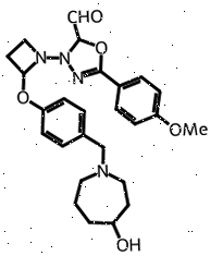 COc1ccc(C2=NN(N3CCC3Oc3ccc(CN4CCCC(O)CC4)cc3)C(C=O)O2)cc1